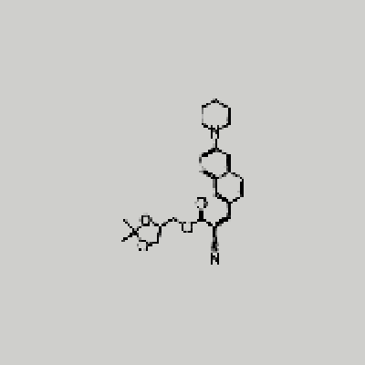 CC1(C)OCC(COC(=O)C(C#N)=Cc2ccc3cc(N4CCCCC4)ccc3c2)O1